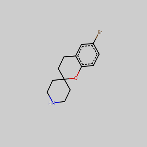 Brc1ccc2c(c1)CCC1(CCNCC1)O2